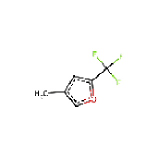 Cc1coc(C(F)(F)F)c1